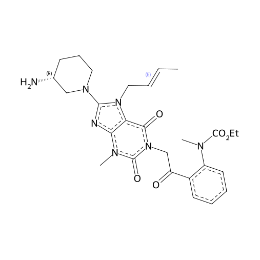 C/C=C/Cn1c(N2CCC[C@@H](N)C2)nc2c1c(=O)n(CC(=O)c1ccccc1N(C)C(=O)OCC)c(=O)n2C